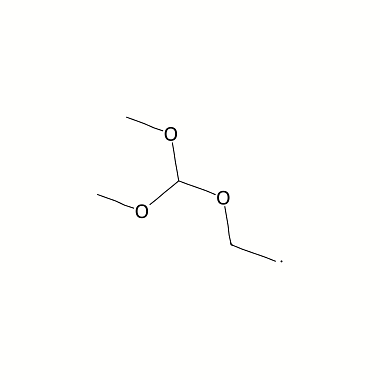 [CH2]COC(OC)OC